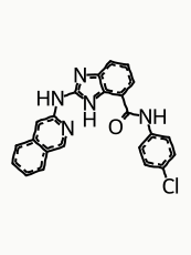 O=C(Nc1ccc(Cl)cc1)c1cccc2nc(Nc3cc4ccccc4cn3)[nH]c12